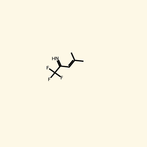 CC(C)=CC(=N)C(F)(F)F